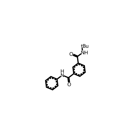 CC(C)(C)NC(=O)c1cccc(C(=O)Nc2ccccc2)c1